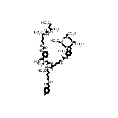 N/C=C(/c1cccc(NC(=O)NCCCCC(NC(=O)NC(CCC(=O)O)C(=O)O)C(=O)O)c1)N(N)CC(=O)NC(CCCCNC(=S)Nc1ccc(CC2CN(CC(=O)O)CCN(CC(=O)O)CCN(CC(=O)O)CCN2CC(=O)O)cc1)C(=O)NC(CCCCNC(=O)Cc1ccc(I)cc1)C(=O)O